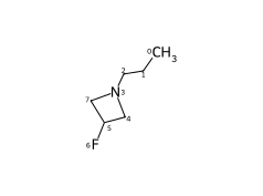 CCCN1CC(F)C1